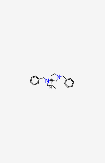 C[C@H]1CN(Cc2ccccc2)[C@]12CCN(Cc1ccccc1)C2